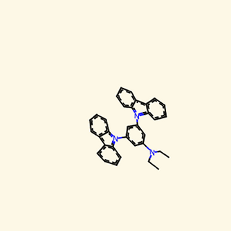 CCN(CC)c1cc(-n2c3ccccc3c3ccccc32)cc(-n2c3ccccc3c3ccccc32)c1